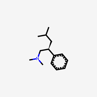 CC(C)C[C@H](CN(C)C)c1ccccc1